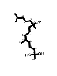 CC(C)=CCCC(C)(O)C=CC=C(C)C=CCC(C)(O)O